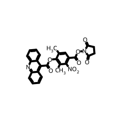 Cc1cc(C(=O)ON2C(=O)CCC2=O)c([N+](=O)[O-])c(C)c1OC(=O)c1c2ccccc2nc2ccccc12